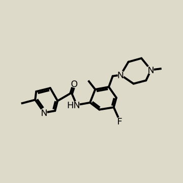 Cc1ccc(C(=O)Nc2cc(F)cc(CN3CCN(C)CC3)c2C)cn1